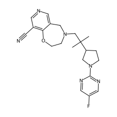 CC(C)(CN1CCOc2c(C#N)cncc2C1)C1CCN(c2ncc(F)cn2)C1